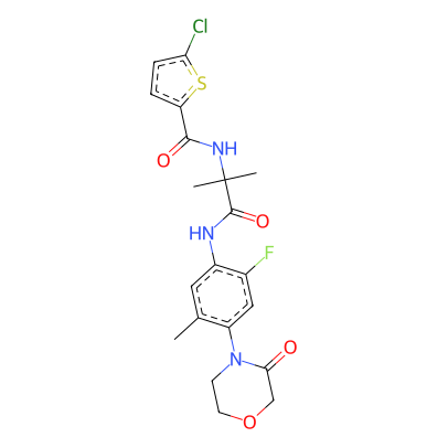 Cc1cc(NC(=O)C(C)(C)NC(=O)c2ccc(Cl)s2)c(F)cc1N1CCOCC1=O